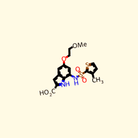 COCCOc1cc(NS(=O)(=O)c2sccc2C)c2[nH]c(C(=O)O)cc2c1